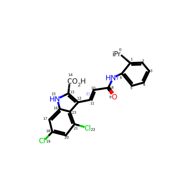 CC(C)c1ccccc1NC(=O)/C=C/c1c(C(=O)O)[nH]c2cc(Cl)cc(Cl)c12